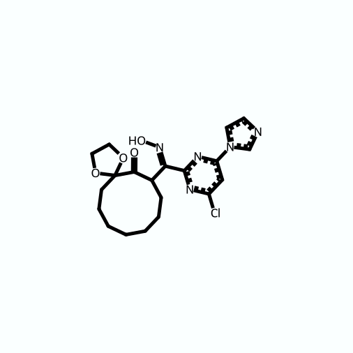 O=C1C(/C(=N\O)c2nc(Cl)cc(-n3ccnc3)n2)CCCCCCCC12OCCO2